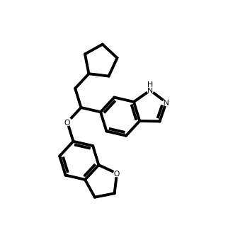 c1cc2c(cc1OC(CC1CCCC1)c1ccc3cn[nH]c3c1)OCC2